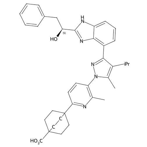 Cc1nc(C23CCC(C(=O)O)(CC2)CC3)ccc1-n1nc(-c2cccc3[nH]c([C@@H](O)Cc4ccccc4)nc23)c(C(C)C)c1C